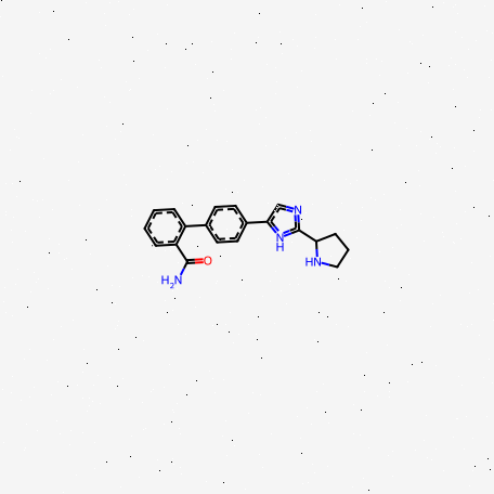 NC(=O)c1[c]cccc1-c1ccc(-c2cnc(C3CCCN3)[nH]2)cc1